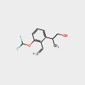 C=Cc1c(OC(F)F)cccc1[C](C)CO